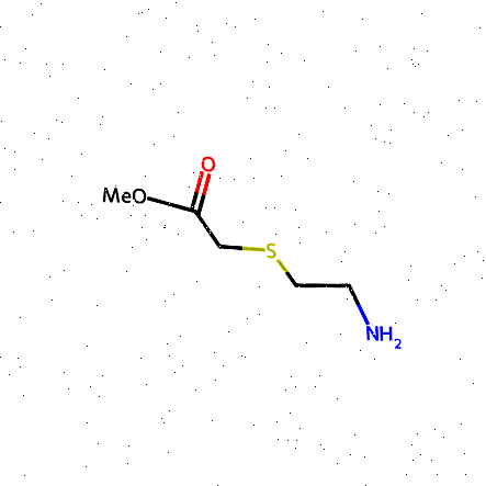 COC(=O)CSCCN